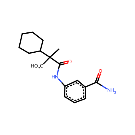 CC(C(=O)O)(C(=O)Nc1cccc(C(N)=O)c1)C1CCCCC1